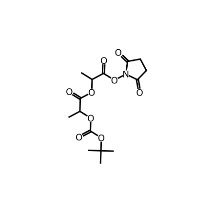 CC(OC(=O)OC(C)(C)C)C(=O)OC(C)C(=O)ON1C(=O)CCC1=O